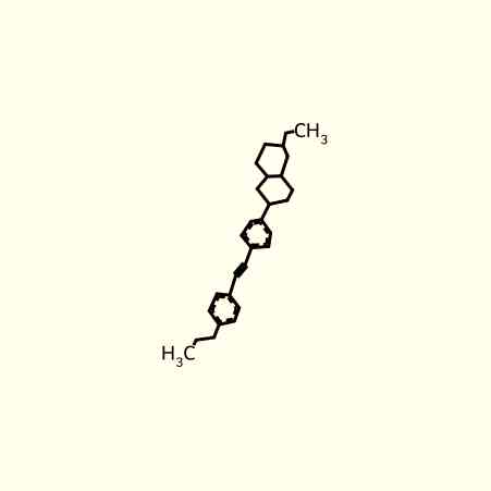 CCCc1ccc(C#Cc2ccc(C3CCC4CC(CC)CCC4C3)cc2)cc1